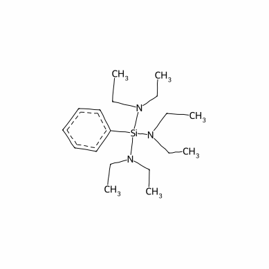 CCN(CC)[Si](c1ccccc1)(N(CC)CC)N(CC)CC